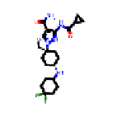 N#CC[C@]1(n2cc(C(N)=O)c(NC(=O)C3CC3)n2)CC[C@@H](NC2CCC(F)(F)CC2)CC1